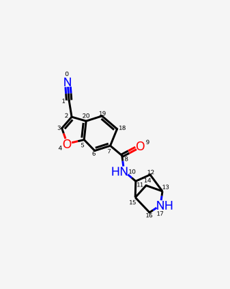 N#Cc1coc2cc(C(=O)NC3CC4CC3CN4)ccc12